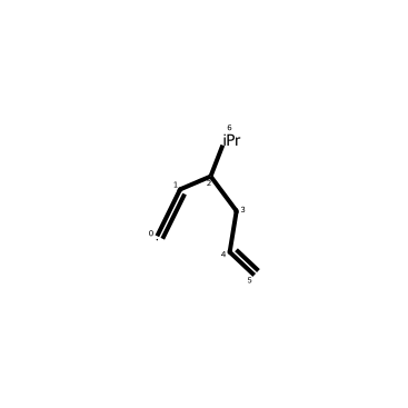 [CH]=CC(CC=C)C(C)C